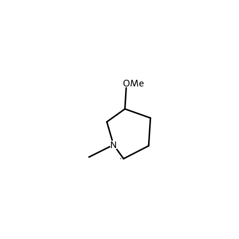 COC1CC[CH]N(C)C1